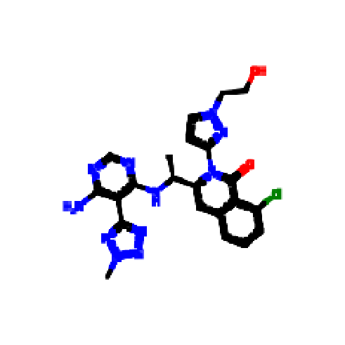 C[C@H](Nc1ncnc(N)c1-c1nnn(C)n1)c1cc2cccc(Cl)c2c(=O)n1-c1ccn(CCO)n1